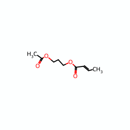 CC=CC(=O)OCCCOC(C)=O